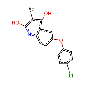 CC(=O)c1c(O)nc2ccc(Oc3ccc(Cl)cc3)cc2c1O